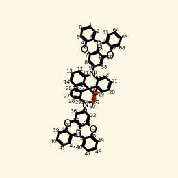 c1ccc2c(c1)Oc1cc(N3c4ccccc4C4(c5ccccc53)c3ccccc3N(c3cc5c6c(c3)Oc3ccccc3B6c3ccccc3O5)c3ccccc34)cc3c1B2c1ccccc1O3